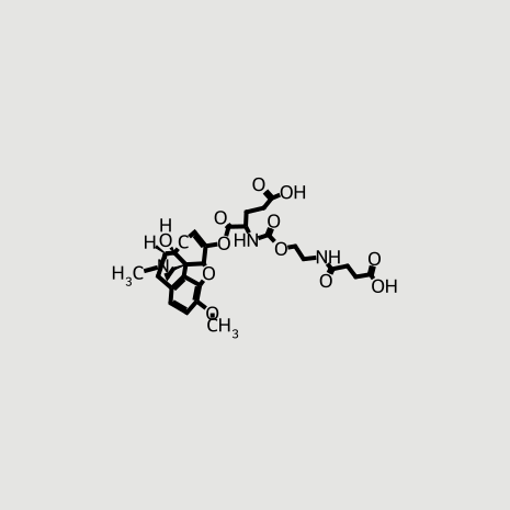 COc1ccc2c3c1OC1C(OC(=O)C(CCC(=O)O)NC(=O)OCCNC(=O)CCC(=O)O)=CC[C@@]4(O)[C@@H](C2)N(C)CC[C@]314